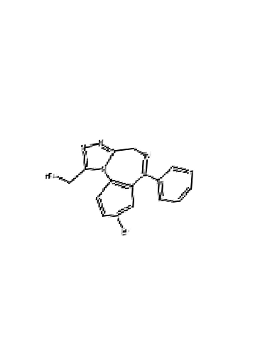 CC(C)(C)Cc1nnc2n1-c1ccc(Br)cc1C(c1ccccc1)=NC2